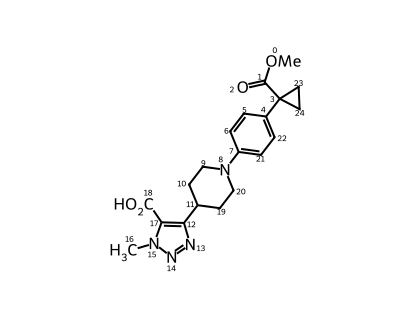 COC(=O)C1(c2ccc(N3CCC(c4nnn(C)c4C(=O)O)CC3)cc2)CC1